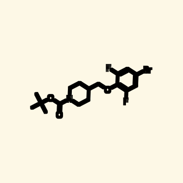 CC(C)(C)OC(=O)N1CCC(COc2c(F)cc(Br)cc2F)CC1